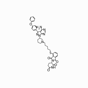 Nc1ncnc2c1c(-c1ccc(Oc3ccccc3)cc1)nn2C1CCCN(CCCCCSc2cccc3c2C(=O)N(C2CCC(=O)NC2=O)C3=O)C1